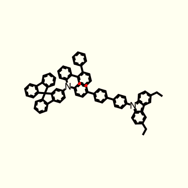 CCc1ccc2c(c1)c1cc(CC)ccc1n2-c1ccc(-c2ccc(-c3ccc(N(c4ccc5c(c4)C4(c6ccccc6-c6ccccc64)c4ccccc4-5)c4ccccc4-c4ccccc4-c4ccccc4)cc3)cc2)cc1